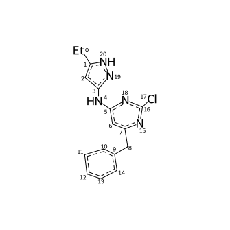 CCc1cc(Nc2cc(Cc3ccccc3)nc(Cl)n2)n[nH]1